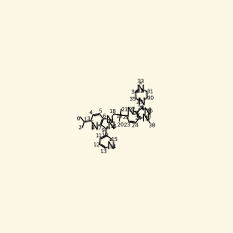 CC(C)c1ccc2c(n1)c(-c1cccnc1)nn2CC(C)(C)c1ccc2c(n1)c(N1CCN(C)CC1)nn2C